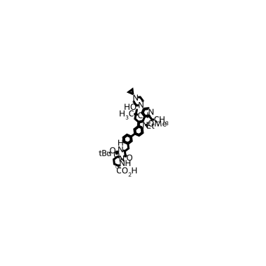 CCn1c(-c2cc(N3CCN(C4CC4)CC3)cnc2C(C)OC)c(CC(C)(C)CO)c2cc(-c3cccc(CC(NC(=O)OC(C)(C)C)C(=O)N4CCC[C@@H](C(=O)O)N4)c3)ccc21